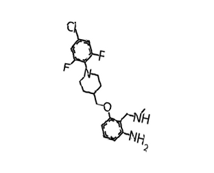 CNCc1c(N)cccc1OCC1CCN(c2c(F)cc(Cl)cc2F)CC1